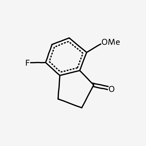 COc1ccc(F)c2c1C(=O)CC2